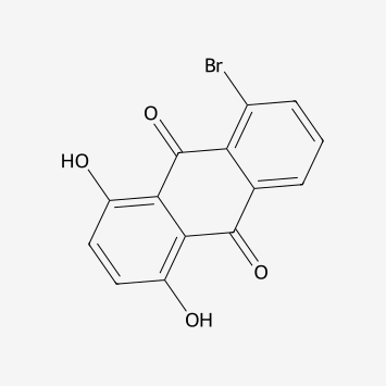 O=C1c2cccc(Br)c2C(=O)c2c(O)ccc(O)c21